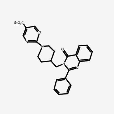 CCOC(=O)c1cnc(N2CCC(Cn3c(-c4ccccc4)nc4ccccc4c3=O)CC2)nc1